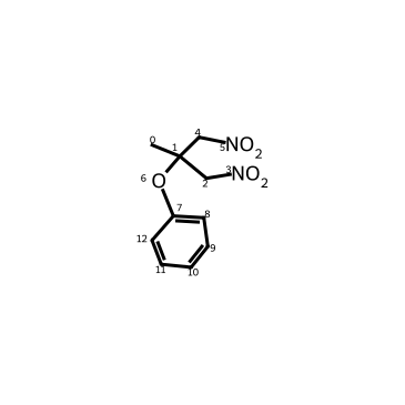 CC(C[N+](=O)[O-])(C[N+](=O)[O-])Oc1ccccc1